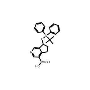 CC(C)(C)[Si](OC1CCc2c(B(O)O)cncc21)(c1ccccc1)c1ccccc1